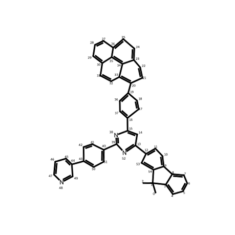 CC1(C)c2ccccc2-c2ccc(-c3cc(-c4ccc(-c5ccc6ccc7cccc8ccc5c6c78)cc4)nc(-c4ccc(-c5cccnc5)cc4)n3)cc21